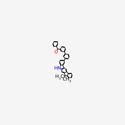 CC1(C)c2ccccc2-c2cc3c(cc21)[nH]c1ccc(-c2cccc(-c4cccc(C(=O)c5ccccc5)c4)c2)cc13